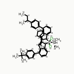 CCC1=Cc2c(-c3ccc(C(C)CC)cc3)cccc2[CH]1[Zr]([Cl])([Cl])([CH]1C(C2CCCC2)=Cc2c(-c3ccc(C(C)(C)C)cc3)cccc21)[SiH](C)C